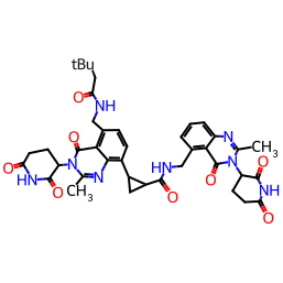 Cc1nc2cccc(CNC(=O)C3CC3c3ccc(CNC(=O)CC(C)(C)C)c4c(=O)n(C5CCC(=O)NC5=O)c(C)nc34)c2c(=O)n1C1CCC(=O)NC1=O